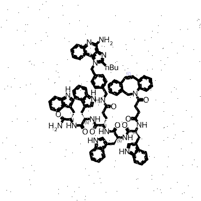 CCCCc1nc2c(N)nc3ccccc3c2n1Cc1ccc(CNC(=O)CC[C@H](NC(=O)[C@H](Cc2c[nH]c3ccccc23)NC(=O)[C@H](Cc2c[nH]c3ccccc23)NC(=O)CCC(=O)N2Cc3ccccc3/C=C\c3ccccc32)C(=O)N[C@@H](Cc2c[nH]c3ccccc23)C(=O)N[C@@H](Cc2c[nH]c3ccccc23)C(N)=O)cc1